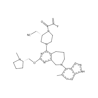 C=C(F)C(=O)N1CCN(c2nc(OC[C@@H]3CCCN3C)nc3c2CCCN(c2c(C)ccc4[nH]ncc24)C3)C[C@@H]1CC#N